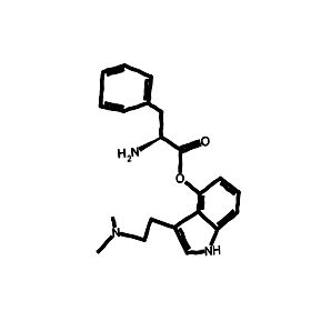 CN(C)CCc1c[nH]c2cccc(OC(=O)[C@@H](N)Cc3ccccc3)c12